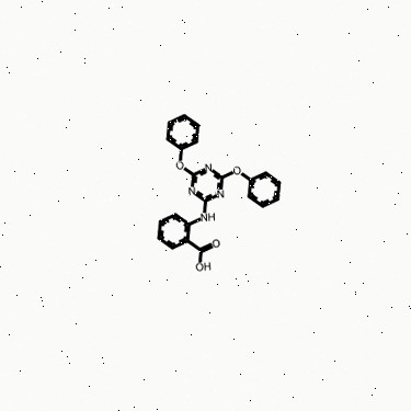 O=C(O)c1ccccc1Nc1nc(Oc2ccccc2)nc(Oc2ccccc2)n1